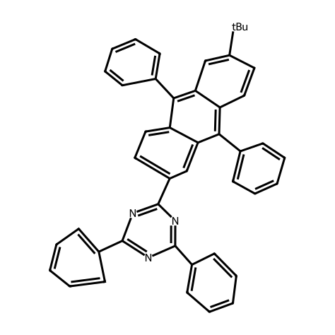 CC(C)(C)c1ccc2c(-c3ccccc3)c3cc(-c4nc(-c5ccccc5)nc(-c5ccccc5)n4)ccc3c(-c3ccccc3)c2c1